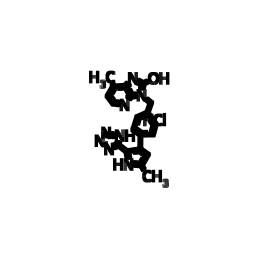 Cc1cc(-c2ccc(Cn3c(O)nc4c(C)ccnc43)cc2)c(-c2nnn[nH]2)[nH]1.Cl